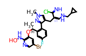 C[C@@H](Oc1cc(Br)cnc1NO)c1cc(F)ccc1-c1nn(C)cc1C/C(=C/NCC1CC1)C(=N)Cl